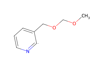 COCOCc1[c]nccc1